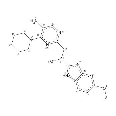 COc1ccc2[nH]c([S+]([O-])Cc3ncc(N)c(N4CCCCC4)n3)nc2c1